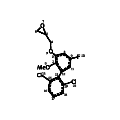 COc1c(OCC2CO2)cc(F)cc1-c1c(Cl)cccc1Cl